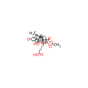 CC(=O)OCC(=O)[C@@]1(OC(=O)CCCCC(=O)O)CC[C@H]2[C@@H]3C[C@H](C)C4=CC(=O)C=C[C@]4(C)[C@H]3[C@@H](O)C[C@@]21C